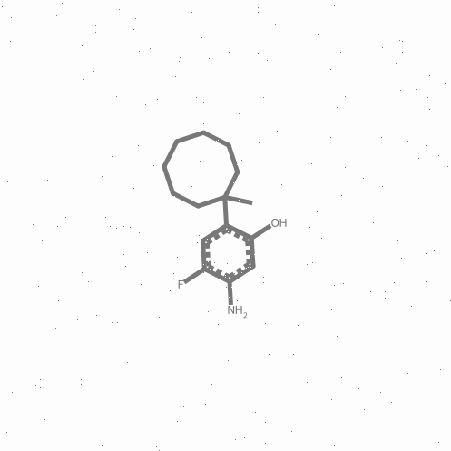 CC1(c2cc(F)c(N)cc2O)CCCCCCC1